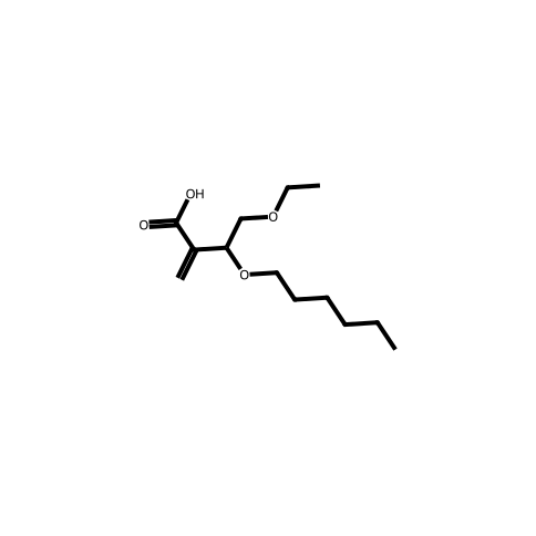 C=C(C(=O)O)C(COCC)OCCCCCC